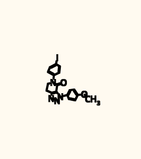 COc1ccc(-n2nnc3c2C(=O)N(c2ccc(I)cc2)CC3)cc1